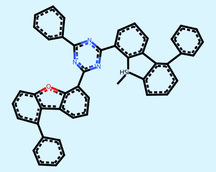 C[SiH]1c2cccc(-c3ccccc3)c2-c2cccc(-c3nc(-c4ccccc4)nc(-c4cccc5c4oc4cccc(-c6ccccc6)c45)n3)c21